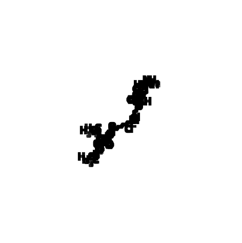 CCN(CC)c1ccc2c(-c3ccccc3C(=O)N3CCN(C(=O)CCCCCCCn4cc(CCCOC(=O)NC(Cc5ccc(NC(=N)N)cc5)P(=O)(Oc5ccccc5)Oc5ccccc5)nn4)CC3)c3ccc(=[N+](CC)CC)cc-3oc2c1.[Cl-]